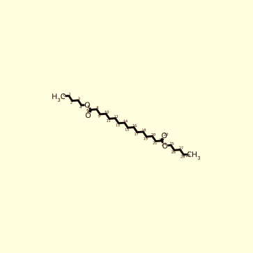 CCCCCOC(=O)CCCCCCCCCCCCCCC(=O)OCCCCC